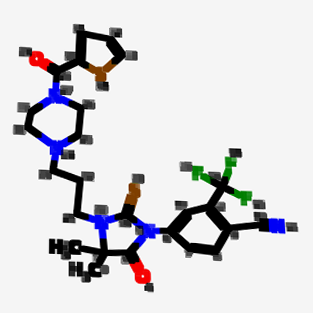 CC1(C)C(=O)N(c2ccc(C#N)c(C(F)(F)F)c2)C(=S)N1CCCN1CCN(C(=O)c2cccs2)CC1